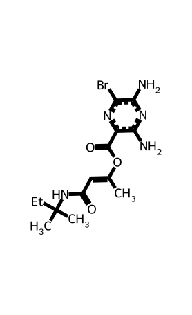 CCC(C)(C)NC(=O)C=C(C)OC(=O)c1nc(Br)c(N)nc1N